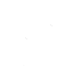 CC(C)C1CCN(CC2CCNC2)CC1